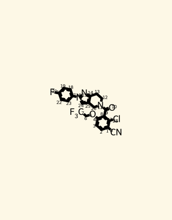 N#Cc1ccc(OCC(F)(F)F)c(C(=O)N2CCc3nn(-c4ccc(F)cc4)cc3C2)c1Cl